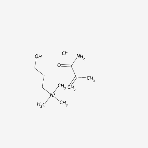 C=C(C)C(N)=O.C[N+](C)(C)CCCO.[Cl-]